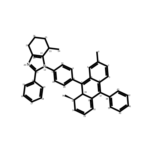 Cc1ccc2c(c1)=C(c1ccc(-n3c(-c4ccccc4)nc4c3C(C)CCC4)cc1)C1C(=CC=C[C@H]1C)C=2c1ccccc1